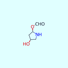 O=CO[C@@H]1C[C@H](O)CN1